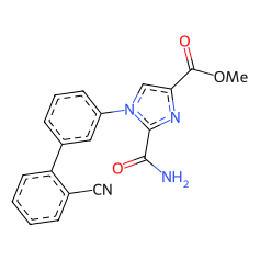 COC(=O)c1cn(-c2cccc(-c3ccccc3C#N)c2)c(C(N)=O)n1